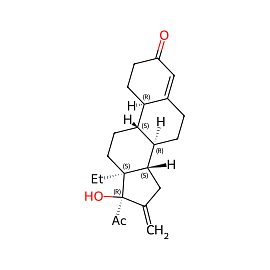 C=C1C[C@H]2[C@@H]3CCC4=CC(=O)CC[C@@H]4[C@H]3CC[C@]2(CC)[C@@]1(O)C(C)=O